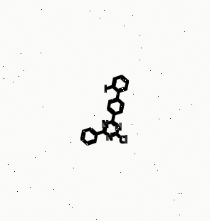 Clc1nc(-c2ccccc2)nc(-c2ccc(-c3ccccc3I)cc2)n1